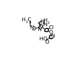 CC#CCN1CCC(c2nc(-c3ccc(Oc4cc(C(=O)O)ccn4)c(Cl)c3)n3c(N)nccc23)C1